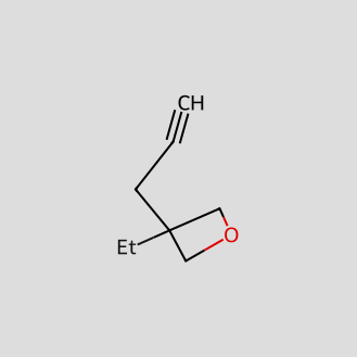 C#CCC1(CC)COC1